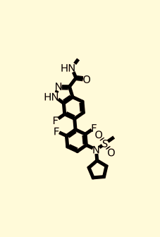 CNC(=O)c1n[nH]c2c(F)c(-c3c(F)ccc(N(C4CCCC4)S(C)(=O)=O)c3F)ccc12